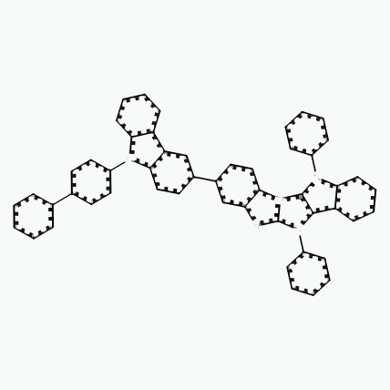 c1ccc(-c2ccc(-n3c4ccccc4c4cc(-c5ccc6c(c5)nc5n(-c7ccccc7)c7c8ccccc8n(-c8ccccc8)c7n65)ccc43)cc2)cc1